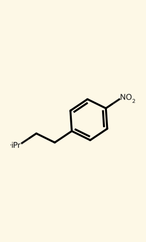 C[C](C)CCc1ccc([N+](=O)[O-])cc1